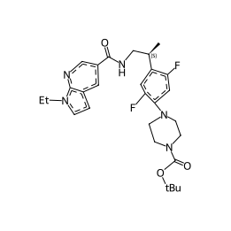 CCn1ccc2cc(C(=O)NC[C@@H](C)c3cc(F)c(N4CCN(C(=O)OC(C)(C)C)CC4)cc3F)cnc21